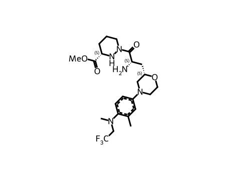 COC(=O)[C@@H]1CCCN(C(=O)[C@@H](N)C[C@H]2CN(c3ccc(N(C)CC(F)(F)F)c(C)c3)CCO2)N1